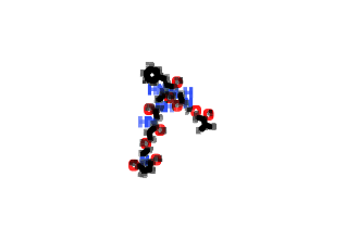 CC(C)C(=O)COCNC(=O)CNC(=O)[C@H](Cc1ccccc1)NC(=O)CNC(=O)CNC(=O)CCOCCN1C(=O)C=CC1=O